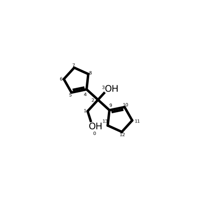 OCC(O)(C1=CCCC1)C1=CCCC1